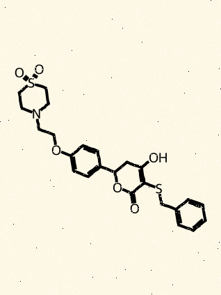 O=C1OC(c2ccc(OCCN3CCS(=O)(=O)CC3)cc2)CC(O)=C1SCc1ccccc1